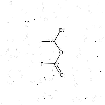 CCC(C)OC(=O)F